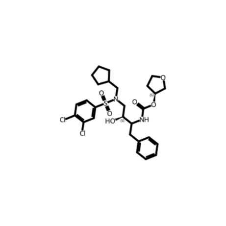 O=C(NC(Cc1ccccc1)[C@@H](O)CN(CC1CCCC1)S(=O)(=O)c1ccc(Cl)c(Cl)c1)O[C@H]1CCOC1